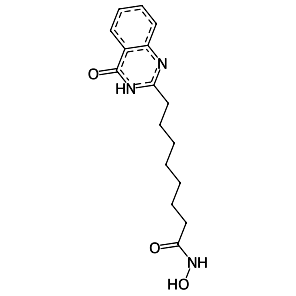 O=C(CCCCCCCc1nc2ccccc2c(=O)[nH]1)NO